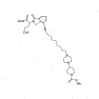 CNC(=O)C(CCC=O)N1Cc2c(C#CCCCCCCCCN3CCN(C4CCN(C(=O)OC(C)(C)C)CC4)CC3)cccc2C1=O